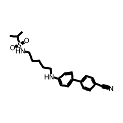 CC(C)S(=O)(=O)NCCCCCNc1ccc(-c2ccc(C#N)cc2)cc1